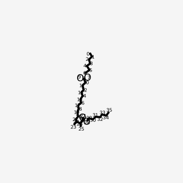 CCCCCCCOC(=O)CCCCCCCCCCCCC(C)C(C)C(=O)OCCCCCCC